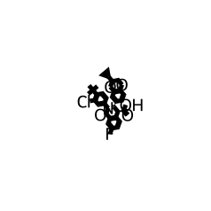 CC(C)(C)c1ccc(N2C(=O)c3cc(F)ccc3[C@H](C(=O)O)[C@H]2c2ccc3c(c2)OC(C2CC2)CO3)cc1Cl